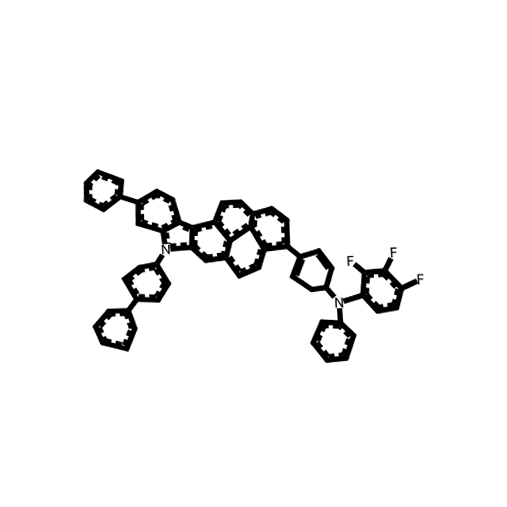 Fc1ccc(N(c2ccccc2)C2C=CC(c3ccc4ccc5c6c(ccc3c46)cc3c5c4ccc(-c5ccccc5)cc4n3-c3ccc(-c4ccccc4)cc3)=CC2)c(F)c1F